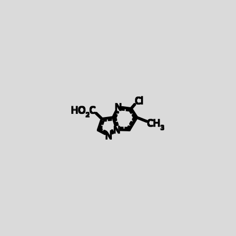 Cc1cn2ncc(C(=O)O)c2nc1Cl